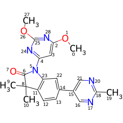 COc1cc(N2C(=O)C(C)(C)c3ccc(-c4cnc(C)nc4)cc32)nc(OC)n1